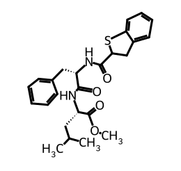 COC(=O)[C@H](CC(C)C)NC(=O)[C@H](Cc1ccccc1)NC(=O)C1Cc2ccccc2S1